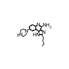 CCCCc1nc2c(N)nc3ccc(N4CCN(I)CC4)cc3c2[nH]1